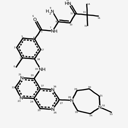 Cc1ccc(C(=O)N/C(N)=C/C(=N)C(C)(C)C)cc1Nc1ncnc2cnc(N3CCCN(C)CC3)nc12